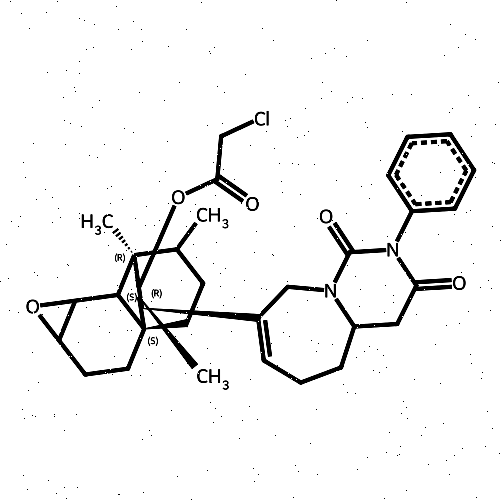 CC1CC[C@@]23CCC4OC4C2[C@]1(C)C(OC(=O)CCl)C[C@@H](C1=CCCC2CC(=O)N(c4ccccc4)C(=O)N2C1)[C@@H]3C